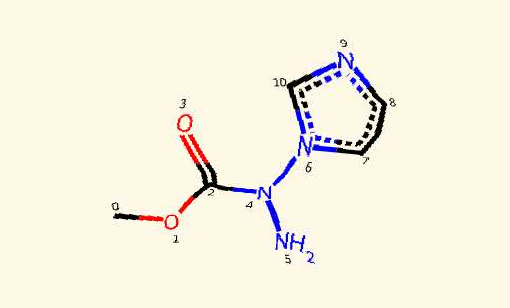 COC(=O)N(N)n1ccnc1